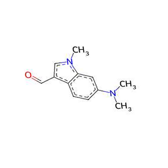 CN(C)c1ccc2c(C=O)cn(C)c2c1